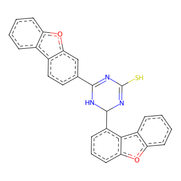 SC1=NC(c2cccc3oc4ccccc4c23)NC(c2ccc3c(c2)oc2ccccc23)=N1